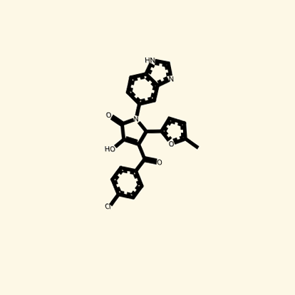 Cc1ccc(C2C(C(=O)c3ccc(Cl)cc3)=C(O)C(=O)N2c2ccc3[nH]cnc3c2)o1